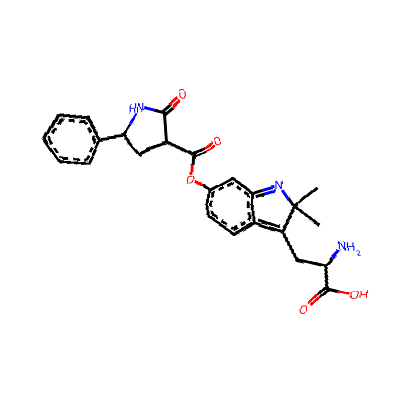 CC1(C)N=c2cc(OC(=O)C3CC(c4ccccc4)NC3=O)ccc2=C1CC(N)C(=O)O